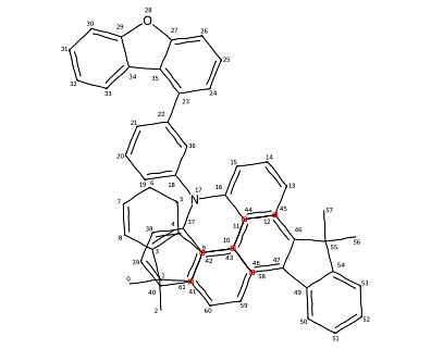 CC1(C)C2=C(CCC=C2)c2c(-c3ccccc3N(c3cccc(-c4cccc5oc6ccccc6c45)c3)c3ccccc3-c3ccc4c(c3)-c3ccccc3C4(C)C)cccc21